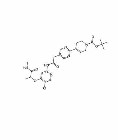 CNC(=O)C(C)Oc1cc(NC(=O)Cc2ccc(C3=CCN(C(=O)OC(C)(C)C)CC3)nc2)ncc1Cl